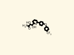 NC(=O)[C@@H](O)[C@H](O)c1cccc(-c2ccc(Oc3ccc(C(F)(F)F)cc3)cc2)n1